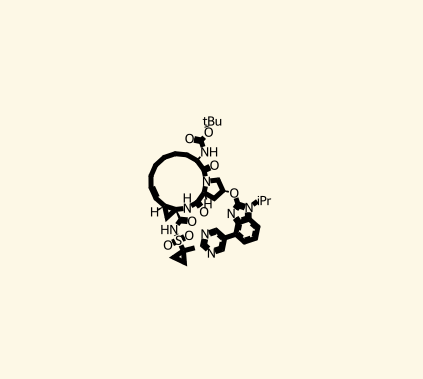 CC(C)n1c(O[C@@H]2C[C@H]3C(=O)N[C@]4(C(=O)NS(=O)(=O)C5(C)CC5)C[C@H]4/C=C\CCCCC[C@H](NC(=O)OC(C)(C)C)C(=O)N3C2)nc2c(-c3cncnc3)cccc21